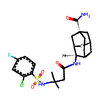 CC(C)(CC(=O)N[C@H]1C2CC3CC1C[C@](C(N)=O)(C3)C2)NS(=O)(=O)c1ccc(F)cc1Cl